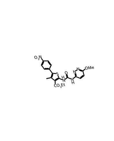 CCOC(=O)c1c(NC(=O)Nc2ccc(OC)nn2)sc(-c2ccc([N+](=O)[O-])cc2)c1C